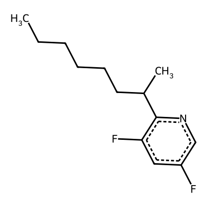 CCCCCCC(C)c1ncc(F)cc1F